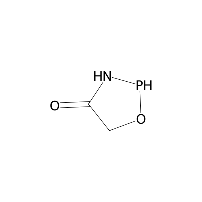 O=C1COPN1